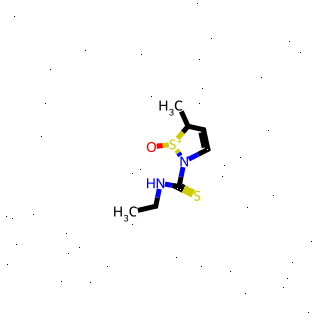 CCNC(=S)N1C=CC(C)[S+]1[O-]